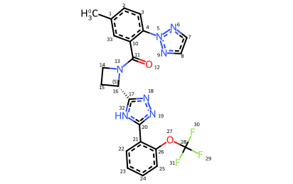 Cc1ccc(-n2nccn2)c(C(=O)N2CC[C@H]2c2nnc(-c3ccccc3OC(F)(F)F)[nH]2)c1